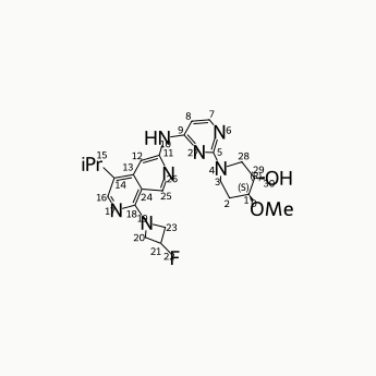 CO[C@H]1CCN(c2nccc(Nc3cc4c(C(C)C)cnc(N5CC(F)C5)c4cn3)n2)C[C@H]1O